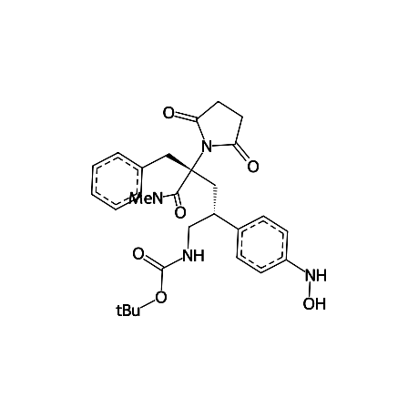 CNC(=O)[C@@](Cc1ccccc1)(C[C@@H](CNC(=O)OC(C)(C)C)c1ccc(NO)cc1)N1C(=O)CCC1=O